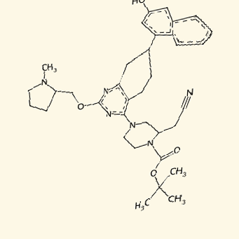 CN1CCCC1COc1nc2c(c(N3CCN(C(=O)OC(C)(C)C)C(CC#N)C3)n1)CCC(c1cc(O)cc3ccccc13)C2